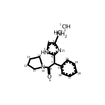 Cl.Cl.Nc1c[nH]c(C(C(=O)N2CCCC2)c2ccccc2)n1